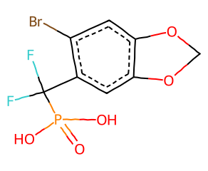 O=P(O)(O)C(F)(F)c1cc2c(cc1Br)OCO2